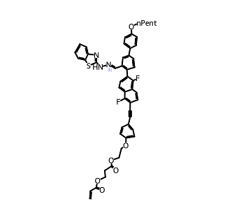 C=CC(=O)OCCC(=O)OCCOc1ccc(C#Cc2ccc3c(F)c(-c4ccc(-c5ccc(OCCCCC)cc5)cc4/C=N/Nc4nc5ccccc5s4)ccc3c2F)cc1